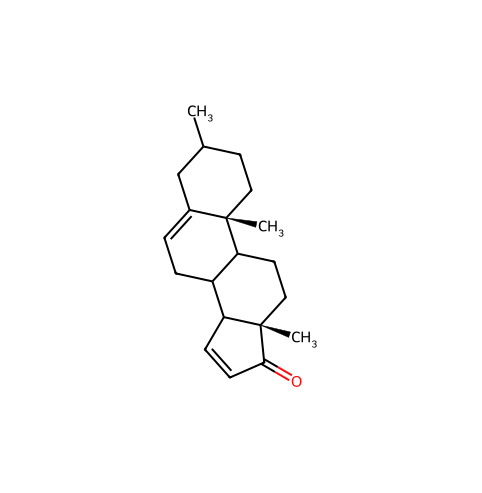 CC1CC[C@@]2(C)C(=CCC3C2CC[C@]2(C)C(=O)C=CC32)C1